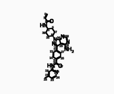 C=CC(=O)N[C@H]1CC[C@H](n2nc(-c3ccc(C(=O)Nc4cc(C)ccn4)cc3)c3c(N)ncnc32)CC1